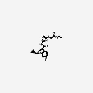 CCOC(=O)CSc1csc(NC(=O)c2cn(CC3CC3)c3cc(F)ccc23)n1